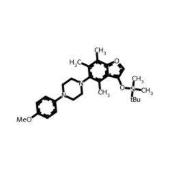 COc1ccc(N2CCN(c3c(C)c(C)c4occ(O[Si](C)(C)C(C)(C)C)c4c3C)CC2)cc1